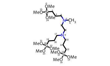 CO[Si](CCCN(C)CCN(CCC[Si](OC)(OC)OC)CCC[Si](OC)(OC)OC)(OC)OC